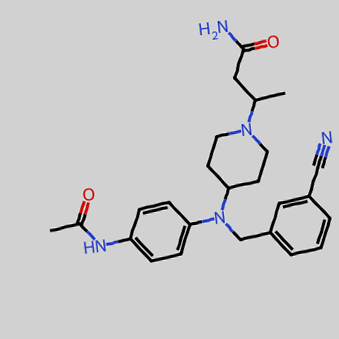 CC(=O)Nc1ccc(N(Cc2cccc(C#N)c2)C2CCN(C(C)CC(N)=O)CC2)cc1